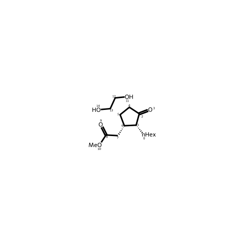 CCCCCC[C@H]1C(=O)CC[C@H]1CC(=O)OC.OCCO